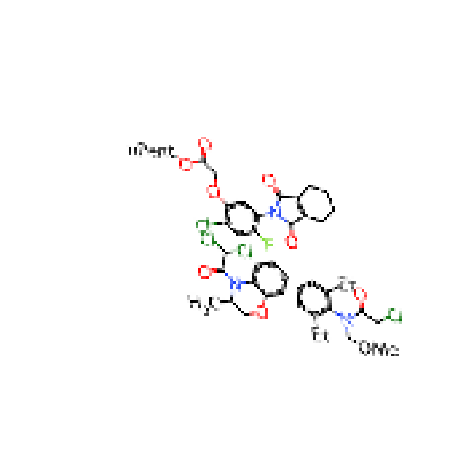 CC1COc2ccccc2N1C(=O)C(Cl)Cl.CCCCCOC(=O)COc1cc(N2C(=O)C3=C(CCCC3)C2=O)c(F)cc1Cl.CCc1cccc(CC)c1N(COC)C(=O)CCl